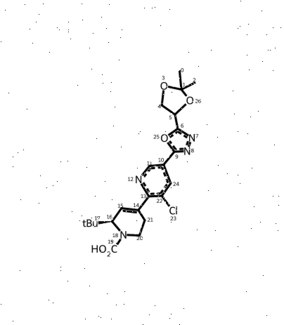 CC1(C)OCC(c2nnc(-c3cnc(C4=C[C@H](C(C)(C)C)N(C(=O)O)CC4)c(Cl)c3)o2)O1